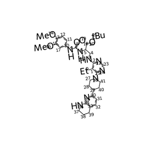 CCc1c(NCC(NC(=O)Nc2ccc(OC)c(OC)c2)C(=O)OC(C)(C)C)ncnc1N1CCC(c2ccc3c(n2)NCCC3)CC1